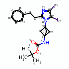 CC(C)(C)OC(=O)NC12CC(n3c(CCc4ccccc4)nc(I)c3I)(C1)C2